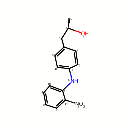 C[C@@H](O)Cc1ccc(Nc2cc[c]cc2[N+](=O)[O-])cc1